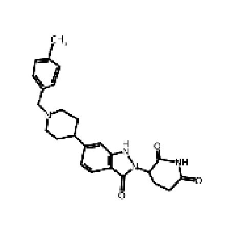 Cc1ccc(CN2CCC(c3ccc4c(=O)n(C5CCC(=O)NC5=O)[nH]c4c3)CC2)cc1